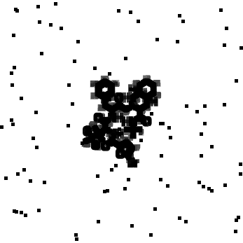 CC(C)(C)NC(=O)C1C[C@@H]2CCCC[C@@H]2CN1CC(O)C(Cc1ccccc1)NC(=O)[C@@H](NC(=O)c1ccc(Br)o1)C(C)(C)S(C)(=O)=O